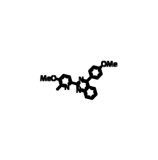 COc1ccc(-c2nc(-c3ccc(OC)c(C)n3)nc3ccccc23)cc1